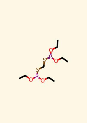 CCOP(OCC)SCSP(OCC)OCC